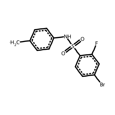 [CH2]c1ccc(NS(=O)(=O)c2ccc(Br)cc2F)cc1